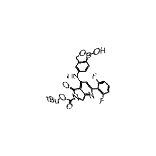 CC(C)(C)OC(=O)N1Cc2nc(-c3c(F)cccc3F)cc(Nc3ccc4c(c3)COB4O)c2C1=O